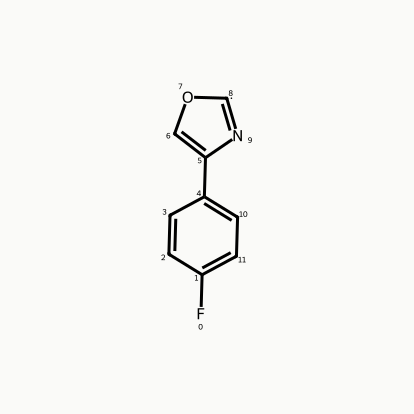 Fc1ccc(-c2co[c]n2)cc1